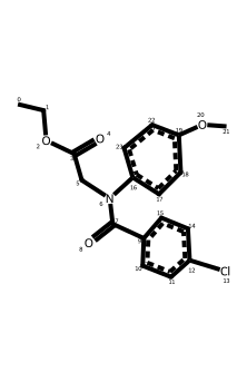 CCOC(=O)CN(C(=O)c1ccc(Cl)cc1)c1ccc(OC)cc1